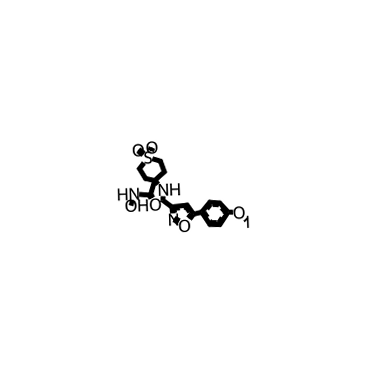 O=C(NO)C1(NCc2cc(-c3ccc(OI)cc3)on2)CCS(=O)(=O)CC1